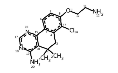 CC1(C)Cc2c(ccc(OCCN)c2Cl)-c2ncnc(N)c21